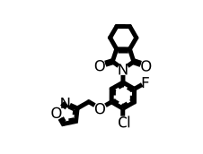 O=C1C2=C(CCCC2)C(=O)N1c1cc(OCc2ccon2)c(Cl)cc1F